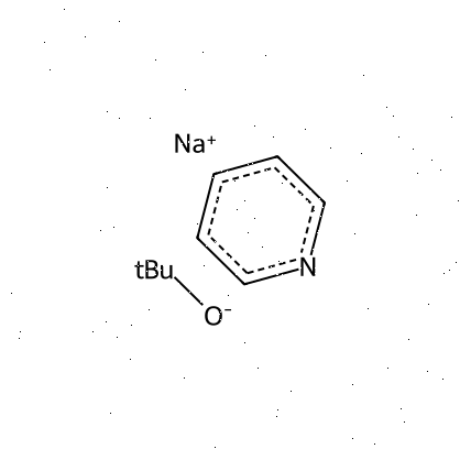 CC(C)(C)[O-].[Na+].c1ccncc1